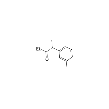 CCC(=O)C(C)c1cccc(C)c1